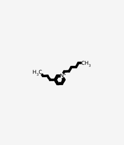 CCCCCC[n+]1cccc(CCCC)c1